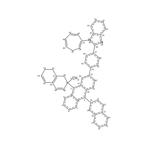 CC1(c2c3ccccc3c(-c3ccc4ccccc4c3)c3ccc(-c4ccc(-c5nc6ccccc6n5C5=CCC=CC=C5)cc4)cc23)C=CC2=C(CCC=C2)C1